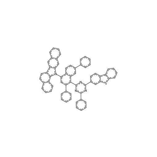 c1ccc(-c2ccc3c(-n4c5cc6ccccc6cc5c5ccc6ccccc6c54)cc(-c4ccccc4)c(-c4nc(-c5ccccc5)nc(-c5ccc6c(c5)sc5ccccc56)n4)c3c2)cc1